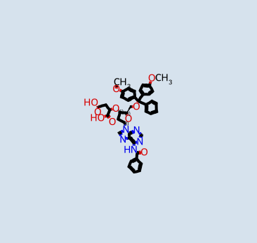 COc1ccc(C(OC[C@H]2O[C@@H](n3cnc4c(NC(=O)c5ccccc5)ncnc43)C[C@@H]2OC(CC(=O)O)C(=O)O)(c2ccccc2)c2ccc(OC)cc2)cc1